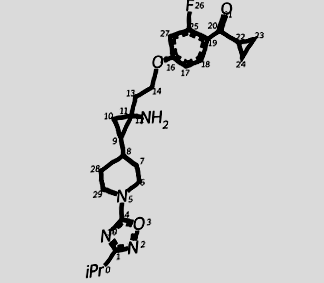 CC(C)c1noc(N2CCC(C3CC3(N)CCOc3ccc(C(=O)C4CC4)c(F)c3)CC2)n1